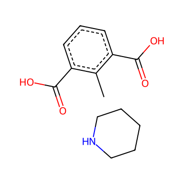 C1CCNCC1.Cc1c(C(=O)O)cccc1C(=O)O